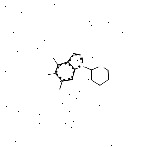 Cc1c(F)cc2c(cnn2C2CCCCO2)c1Br